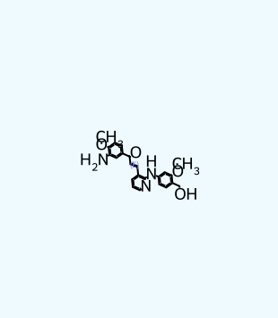 COc1ccc(C(=O)/C=C/c2cccnc2Nc2ccc(CO)c(OC)c2)cc1N